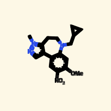 COc1cc2c(cc1[N+](=O)[O-])-c1cnn(C)c1CCN2CC1CC1